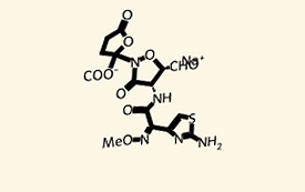 CO/N=C(\C(=O)N[C@@H]1C(=O)N(C2(C(=O)[O-])CCC(=O)O2)O[C@H]1C=O)c1csc(N)n1.[Na+]